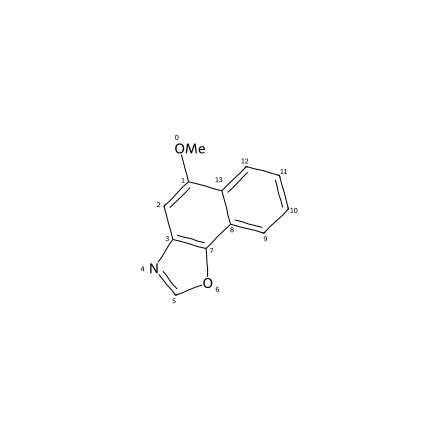 COc1cc2ncoc2c2ccccc12